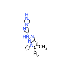 C=C1C(C)=Cc2cnc(Nc3ccc(N4CCNCC4)nc3)nc2N1C1CCCC1